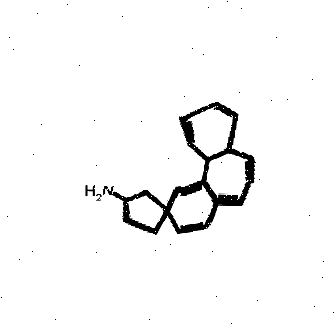 NC1CCC2(C=CC3=CC=CC4C=CC=CC4C3=C2)C1